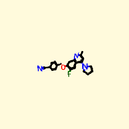 Cc1cc(N2CCCC2)c2cc(F)c(OCc3ccc(C#N)cc3)cc2n1